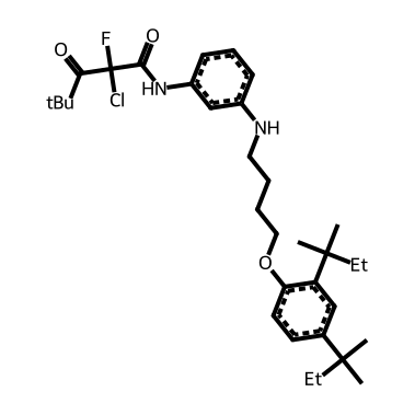 CCC(C)(C)c1ccc(OCCCCNc2cccc(NC(=O)C(F)(Cl)C(=O)C(C)(C)C)c2)c(C(C)(C)CC)c1